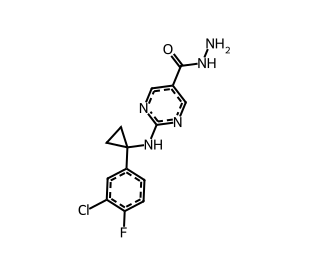 NNC(=O)c1cnc(NC2(c3ccc(F)c(Cl)c3)CC2)nc1